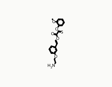 COc1ccccc1OC(=S)C(=O)OC=Cc1cccc(OCCN)c1